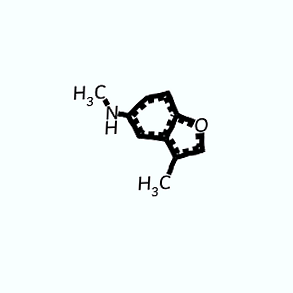 CNc1ccc2occ(C)c2c1